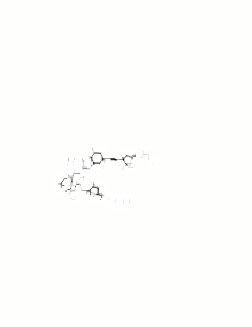 Cc1cc(C#Cc2cccc(CC(O)CCN3C=CSC(=O)N3CCc3ccc(C(=O)O)s3)c2)cs1